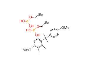 CC(C)(C)COP(O)O.CC(C)(C)COP(O)O.COc1ccc(C(C)(C)c2ccc(OC)c(C)c2C)cc1